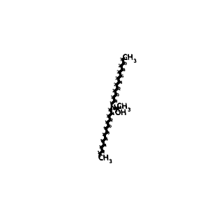 CCCCCCCCCCCCCCCCN(CCCCCCCCCCCCCCCC)C(C)O